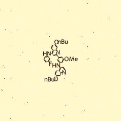 CCCCOc1ccc2c(Nc3cc(OC)cc(-c4cc(Nc5cccc(F)c5)c5ccc(OCCCC)cc5n4)c3)ccnc2c1